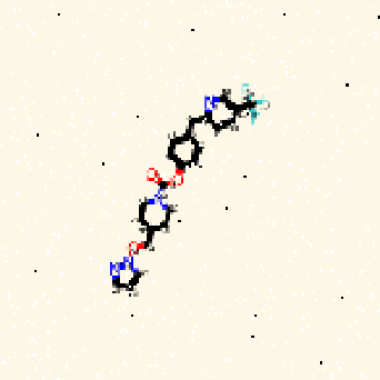 O=C(Oc1ccc(Cc2ccc(C(F)(F)F)cn2)cc1)N1CCC(COn2cccn2)CC1